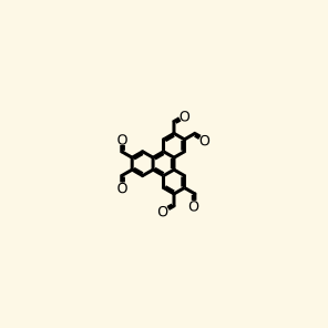 O=Cc1cc2c3cc(C=O)c(C=O)cc3c3cc(C=O)c(C=O)cc3c2cc1C=O